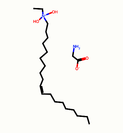 CCCCCCCC/C=C\CCCCCCCCC[N+](O)(O)CC.NCC(=O)[O-]